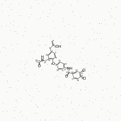 C=C(O)Cc1ccc(Oc2ccc(NC(=O)c3ccc(Cl)c(Cl)c3)cc2)c(CNC(C)=O)c1